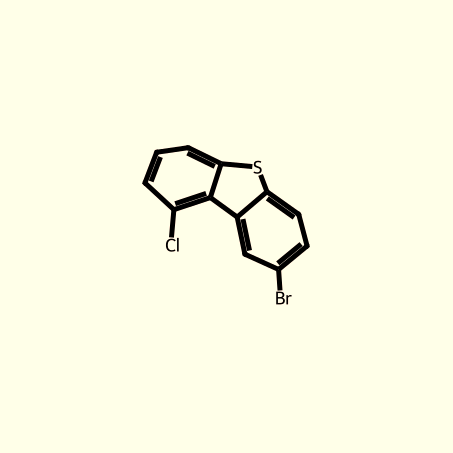 Clc1cccc2sc3ccc(Br)cc3c12